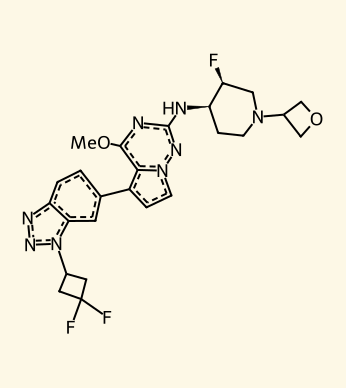 COc1nc(N[C@@H]2CCN(C3COC3)C[C@@H]2F)nn2ccc(-c3ccc4nnn(C5CC(F)(F)C5)c4c3)c12